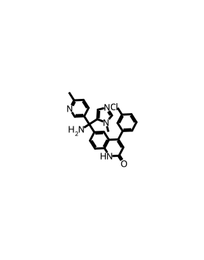 Cc1ccc(C(N)(c2ccc3[nH]c(=O)cc(-c4cccc(Cl)c4)c3c2)c2cncn2C)cn1